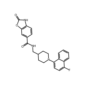 O=C(NCC1CCN(c2ccc(F)c3ccccc23)CC1)c1ccc2[nH]c(=O)oc2c1